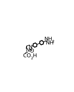 N=C(N)c1ccc(-c2ccc(N3CC=CN(CCC(=O)O)C3=O)cc2)cc1